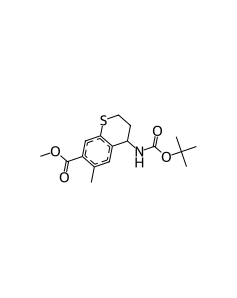 COC(=O)c1cc2c(cc1C)C(NC(=O)OC(C)(C)C)CCS2